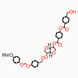 COc1ccc(OCOc2ccc(COO[C@H]3CO[C@@H]4C(OC(=O)c5ccc(OC(=O)c6ccc(CO)cc6)cc5)CO[C@H]34)cc2)cc1